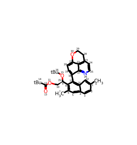 Cc1ccc2cc(C)c([C@@H](COC(=O)C(C)(C)C)OC(C)(C)C)c(-c3ccc4c5c(ccnc35)CCO4)c2c1